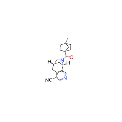 CC12CCC(C(=O)N3C[C@H]4Cc5c(C#N)cncc5[C@@H]3C4)(CC1)C2